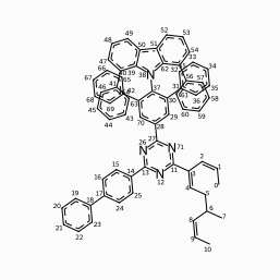 C/C=C\C(=C/CC(C)/C=C\C)c1nc(-c2ccc(-c3ccccc3)cc2)nc(-c2cc(-c3ccccc3)c(-n3c4c(-c5ccccc5)cccc4c4cccc(-c5ccccc5)c43)c(-c3ccccc3)c2)n1